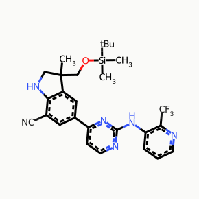 CC1(CO[Si](C)(C)C(C)(C)C)CNc2c(C#N)cc(-c3ccnc(Nc4cccnc4C(F)(F)F)n3)cc21